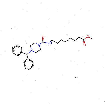 COC(=O)CCCCCCCNC(=O)N1CCN(C(c2ccccc2)c2ccccc2)CC1